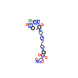 CNC(=O)CCC(C=O)N1C(=O)c2ccc(N3CCC(CCN4CCN(C5CCN(c6cc(OC)c(Nc7ncc(Cl)c(Nc8ccccc8N(C)[S+](C)[O-])n7)cc6C)CC5)CC4)CC3)cc2C1=O